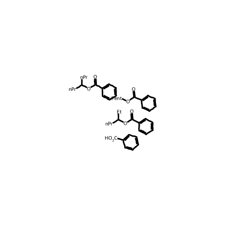 CCCC(C)OC(=O)c1ccccc1.CCCC(CC)OC(=O)c1ccccc1.CCCC(CCC)OC(=O)c1ccccc1.O=C(O)c1ccccc1